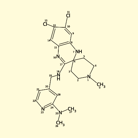 CN1CCC2(CC1)Nc1cc(Cl)c(Cl)cc1N=C2NCc1ccnc(N(C)C)c1